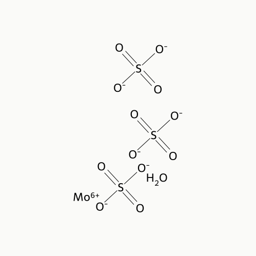 O.O=S(=O)([O-])[O-].O=S(=O)([O-])[O-].O=S(=O)([O-])[O-].[Mo+6]